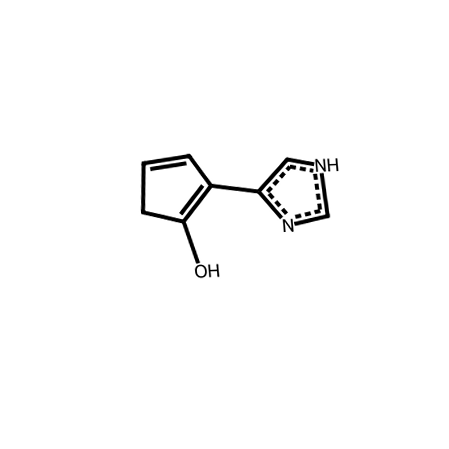 OC1=C(c2c[nH]cn2)C=CC1